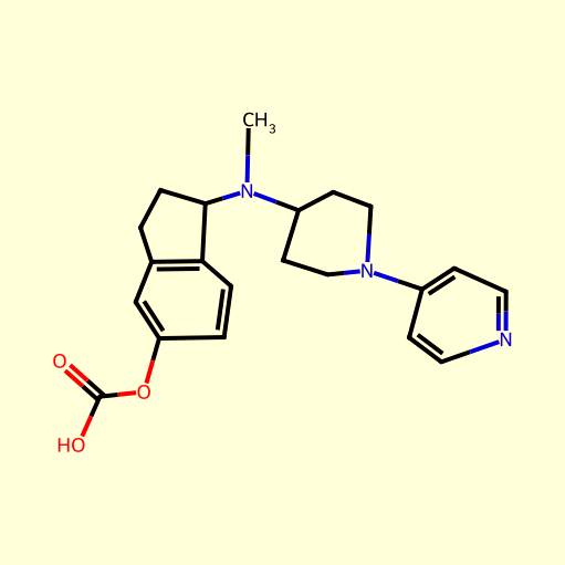 CN(C1CCN(c2ccncc2)CC1)C1CCc2cc(OC(=O)O)ccc21